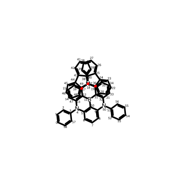 c1ccc(N2c3cccc4c3B(c3c2cccc3-n2c3ccccc3c3ccccc32)c2c(cccc2-n2c3ccccc3c3ccccc32)N4c2ccccc2)cc1